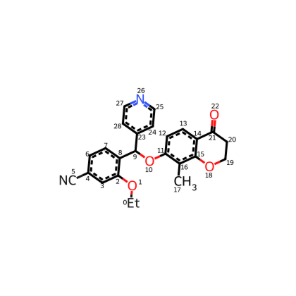 CCOc1cc(C#N)ccc1C(Oc1ccc2c(c1C)OCCC2=O)c1ccncc1